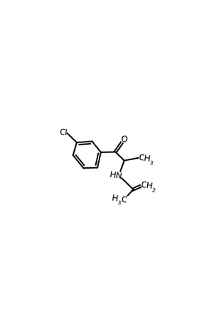 C=C(C)NC(C)C(=O)c1cccc(Cl)c1